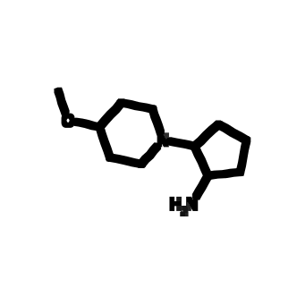 COC1CCN(C2CCCC2N)CC1